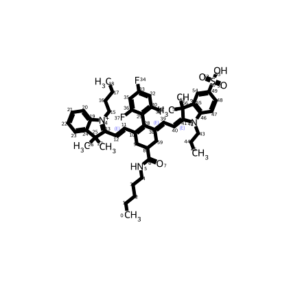 CCCCCNC(=O)C1CC(/C=C/C2=[N+](CCCC)c3ccccc3C2(C)C)=C(c2c(F)cc(F)cc2F)C(=C/C=C2/N(CCC)c3ccc(S(=O)(=O)O)cc3C2(C)C)/C1